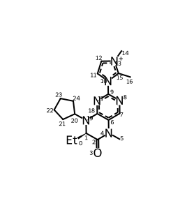 CC[C@@H]1C(=O)N(C)c2cnc(-n3cc[n+](C)c3C)nc2N1C1CCCC1